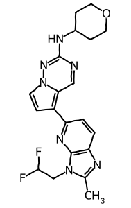 Cc1nc2ccc(-c3ccn4nc(NC5CCOCC5)ncc34)nc2n1CC(F)F